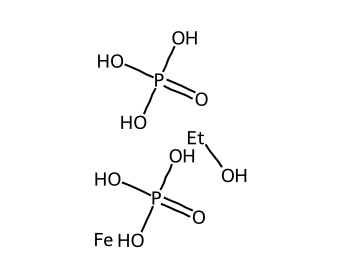 CCO.O=P(O)(O)O.O=P(O)(O)O.[Fe]